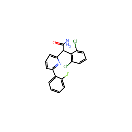 NC(=O)C(c1cccc(-c2ccccc2F)n1)c1c(Cl)cccc1Cl